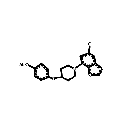 COc1ccc(OC2CCN(c3cc([O])cc4ncsc34)CC2)cc1